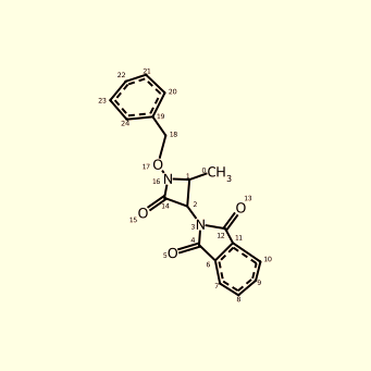 CC1C(N2C(=O)c3ccccc3C2=O)C(=O)N1OCc1ccccc1